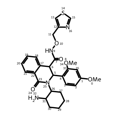 COc1ccc(C2C(C(=O)NOCc3cscn3)c3ccccc3C(=O)N2C2CCCCC2N)c(OC)c1